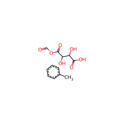 Cc1ccccc1.O=COC(=O)C(O)C(O)C(=O)O